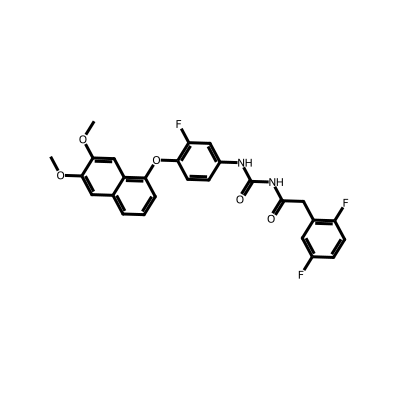 COc1cc2cccc(Oc3ccc(NC(=O)NC(=O)Cc4cc(F)ccc4F)cc3F)c2cc1OC